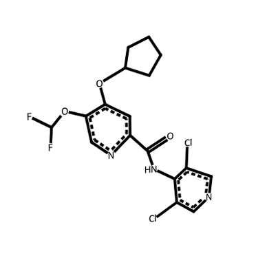 O=C(Nc1c(Cl)cncc1Cl)c1cc(OC2CCCC2)c(OC(F)F)cn1